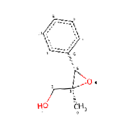 C[C@@]1(CO)O[C@H]1c1ccccc1